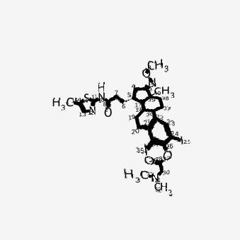 CO/N=C1\C[C@@H](CCC(=O)Nc2ncc(C)s2)C2C3CCc4c(cc(I)c(OC(=O)CN(C)C)c4I)C3CC[C@]12C